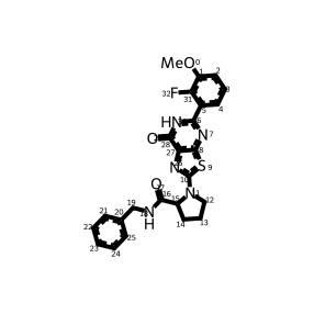 COc1cccc(-c2nc3sc(N4CCCC4C(=O)NCc4ccccc4)nc3c(=O)[nH]2)c1F